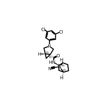 N#CN1[C@H]2CC[C@@H]1[C@H](NC(=O)[C@]13C[C@@H]1CN(c1cc(Cl)cc(Cl)c1)C3)C2